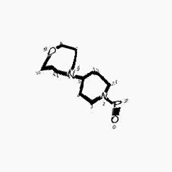 O=PN1CCC(N2CCOCC2)CC1